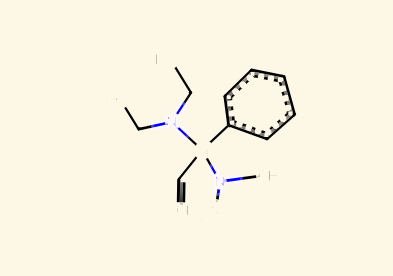 C=C[Si](c1ccccc1)(N(C)C)N(CC)CC